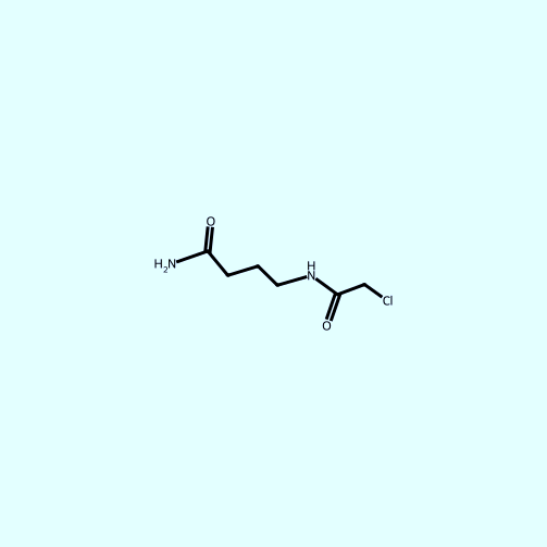 NC(=O)CCCNC(=O)CCl